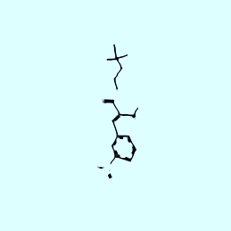 CC(=O)/C(=C\c1cccc([N+](=O)[O-])c1)C(=O)OCCC(C)(C)C